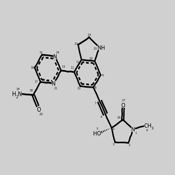 CN1CC[C@@](O)(C#Cc2cc3c(c(-c4nccc(C(N)=O)n4)c2)CCN3)C1=O